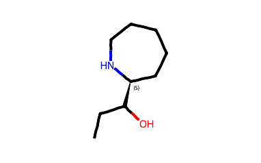 CCC(O)[C@@H]1CCCCCN1